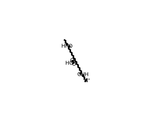 CCCCNC(=O)CCCCCCCCC(CCCCCCCC(=O)NCCC[N+](C)(C)C)S(=O)(=O)O